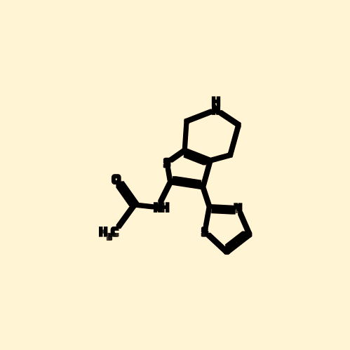 CC(=O)Nc1sc2c(c1-c1nccs1)CCNC2